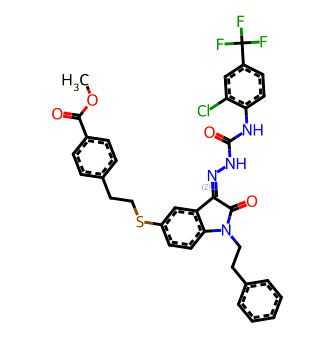 COC(=O)c1ccc(CCSc2ccc3c(c2)/C(=N/NC(=O)Nc2ccc(C(F)(F)F)cc2Cl)C(=O)N3CCc2ccccc2)cc1